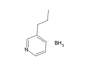 B.CCCc1cccnc1